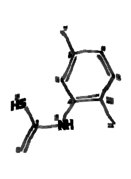 C=C(S)Nc1cc(C)ccc1C